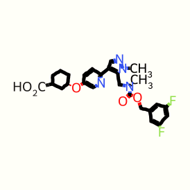 CN(Cc1c(-c2ccc(O[C@H]3CCCC(C(=O)O)C3)cn2)cnn1C)C(=O)OCc1cc(F)cc(F)c1